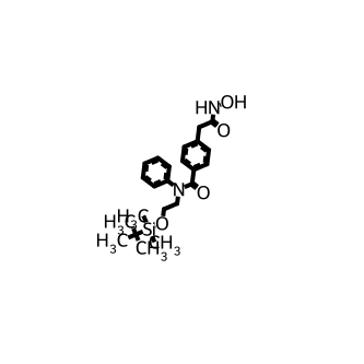 CC(C)(C)[Si](C)(C)OCCN(C(=O)c1ccc(CC(=O)NO)cc1)c1ccccc1